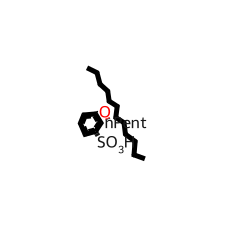 CCCCCCCCCCCC.CCCCC[O].O=S(=O)(O)c1ccccc1